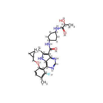 Cc1ccc(OCC2CC2)c(-c2ncnc3c(C(=O)NC4CCC(NC(=O)[C@H](C)O)CC4)c(C)[nH]c23)c1F